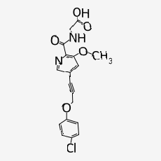 COc1cc(C#CCOc2ccc(Cl)cc2)cnc1C(=O)NCC(=O)O